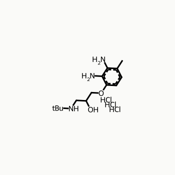 Cc1ccc(OCC(O)CNC(C)(C)C)c(N)c1N.Cl.Cl.Cl